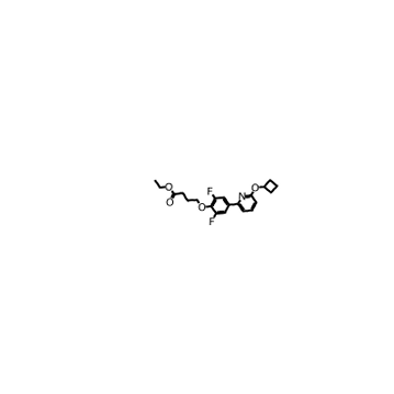 CCOC(=O)CCCOc1c(F)cc(-c2cccc(OC3CCC3)n2)cc1F